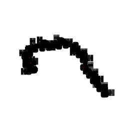 CC(=O)Nc1cn(C)c(C(=O)Nc2cn(C)c(C(=O)Nc3cc(C(=O)Nc4cn(C)c(C(=O)NCCC(=O)Nc5cc(C(=O)Nc6cn(C)c(C(=O)NCCCC(=O)Nc7cc(C(=O)Nc8cn(C)c(C(=O)Nc9cc(C(=O)NCCC(=O)Nc%10cc(C(=O)Nc%11ccc%12cc(C(=O)N%13CC(CCl)c%14c%13cc(O)c%13ccccc%14%13)[nH]c%12c%11)n(C)c%10)n(C)c9)n8)n(C)c7)n6)n(C)c5)n4)n(C)c3)n2)n1